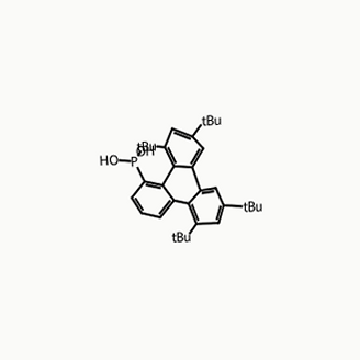 CC(C)(C)c1cc(C(C)(C)C)c2c(c1)c1cc(C(C)(C)C)cc(C(C)(C)C)c1c1c(P(O)O)cccc21